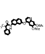 COc1cc2nccc(Oc3ccc4ccc(NC(=O)[C@@H](C)c5ccccc5)cc4c3)c2cc1OC